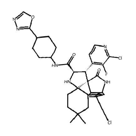 CC1(C)CCC2(CC1)N[C@@H](C(=O)NC1CCC(c3nnco3)CC1)[C@H](c1ccnc(Cl)c1F)[C@]21C(=O)Nc2cc(Cl)ccc21